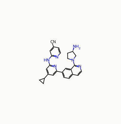 N#Cc1ccnc(Nc2cc(C3CC3)cc(-c3ccc4ccnc(N5CC[C@@H](N)C5)c4c3)n2)c1